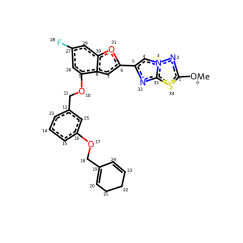 COc1nn2cc(-c3cc4c(OCc5cccc(OCC6=CCCC=C6)c5)cc(F)cc4o3)nc2s1